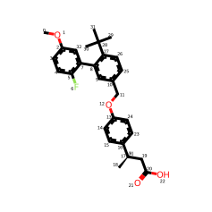 COc1ccc(F)c(-c2cc(COc3ccc([C@H](C)CC(=O)O)cc3)ccc2C(C)(C)C)c1